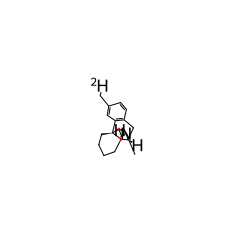 [2H]Cc1ccc2c(c1)[C@@]13CCCC[C@@H]1[C@@H](C2)N(C)CC3